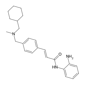 CN(Cc1ccc(/C=C/C(=O)Nc2ccccc2N)cc1)CC1CCCCC1